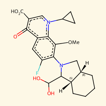 COc1c(N2C[C@@H]3CCCC[C@@H]3C2C(O)O)c(F)cc2c(=O)c(C(=O)O)cn(C3CC3)c12